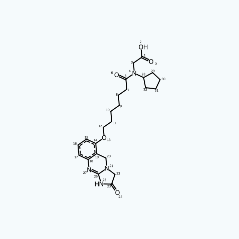 O=C(O)CN(C(=O)CCCCCCOc1cccc2c1CN1CC(=O)NC1=N2)C1CCCC1